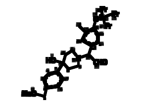 COCc1ccc(C2(O)CCN(C(C=O)c3ccc(O[Si](C(C)C)(C(C)C)C(C)C)c(C)c3)CC2)cc1